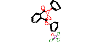 O=C(Oc1ccccc1)c1ccccc1C(=O)Oc1ccccc1.O=P(Cl)(Cl)Cl